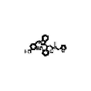 O=C(CC(c1ccccc1O)c1cn(Cc2ccc(O)cc2)c2ccccc12)NCc1ccco1